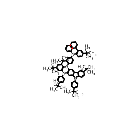 CC(C)(C)c1ccc(N2c3cc4c(cc3B3c5ccc(N(c6ccccc6)c6ccc(C(C)(C)C)cc6-c6ccccc6)cc5C(C)(C)c5cc(C(C)(C)C)cc2c53)c2cc(C(C)(C)C)ccc2n4-c2ccc(C(C)(C)C)cc2)cc1